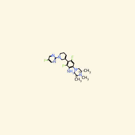 C[C@@H]1CN(c2cc(F)c(C3=CCCN(c4ncc(F)cn4)C3)c(F)c2N)C[C@H](C)N1C